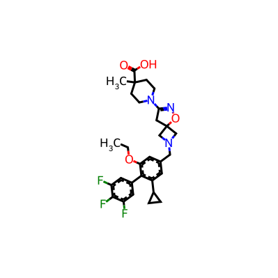 CCOc1cc(CN2CC3(CC(N4CCC(C)(C(=O)O)CC4)=NO3)C2)cc(C2CC2)c1-c1cc(F)c(F)c(F)c1